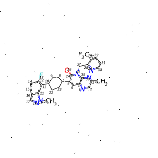 Cc1cnc2cc(C3CCC(c4c(F)ccc5cnn(C)c45)CC3)c(=O)n(Cc3ncccc3C(F)(F)F)c2n1